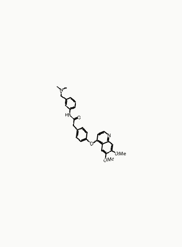 COc1cc2nccc(Oc3ccc(CC(=O)Nc4cccc(CN(C)C)c4)cc3)c2cc1OC